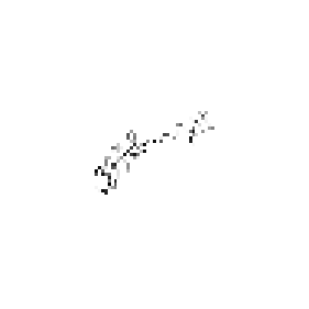 CCC(C)(C(=O)OCCCCOC(=O)C(F)(F)C(F)(F)C(F)(F)C(=O)OC(C)C)C(C)(C)C